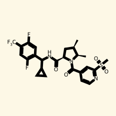 C[C@@H]1C[C@H](C(=O)NC(c2cc(F)c(C(F)(F)F)cc2F)C2CC2)N(C(=O)c2ccnc(S(C)(=O)=O)c2)[C@@H]1C